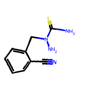 N#Cc1ccccc1CN(N)C(N)=S